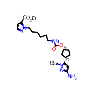 CCOC(=O)c1ccnn1CCCCCCNC(=O)O[C@@H]1CC[C@H](c2cc(N)nn2C(C)(C)C)C1